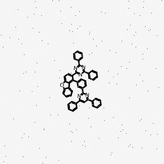 c1ccc(-c2cc(-c3ccccc3)nc(-c3cccc(-c4c(-c5nc(-c6ccccc6)nc(-c6ccccc6)n5)ccc5oc6ccccc6c45)c3)n2)cc1